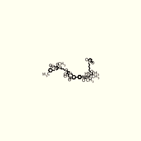 COc1c(OCCCOc2cn3c(c2OC)C=[N+]([O-])C2=CC=C(c4ccc(NC(=O)C(C)NC(=O)C(NC(=O)CCCCCN5C(=O)C=CC5=O)C(C)C)cc4)CC2C3)cn2c1C=[N+]([O-])C1=CC=C(C)CC1C2